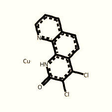 O=c1[nH]c2c(ccc3cccnc32)c(Cl)c1Cl.[Cu]